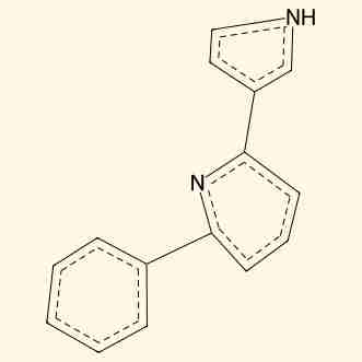 c1ccc(-c2cccc(-c3cc[nH]c3)n2)cc1